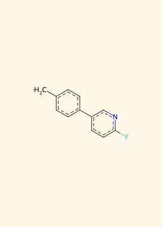 [CH2]c1ccc(-c2ccc(F)nc2)cc1